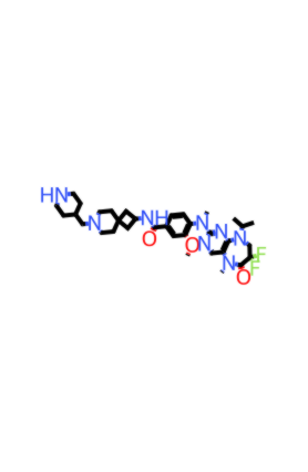 COc1cc(C(=O)NC2CC3(CCN(CC4CCNCC4)CC3)C2)ccc1N(C)c1ncc2c(n1)N(C(C)C)CC(F)(F)C(=O)N2C